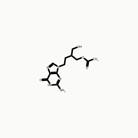 CC(=O)OCC(CO)CCn1cnc2c(=O)[nH]c(N)nc21